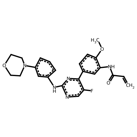 C=CC(=O)Nc1cc(-c2nc(Nc3cccc(N4CCOCC4)c3)ncc2F)ccc1OC